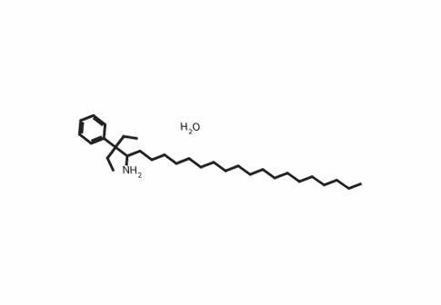 CCCCCCCCCCCCCCCCCCCC(N)C(CC)(CC)c1ccccc1.O